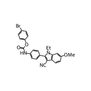 CCn1c(-c2ccc(NC(=O)Oc3ccc(Br)cc3)cc2)c(C#N)c2ccc(OC)cc21